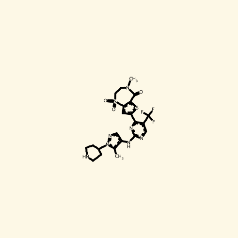 Cc1c(Nc2ncc(C(F)(F)F)c(-c3cc4c(s3)C(=O)N(C)CCS4(=O)=O)n2)cnn1C1CCNCC1